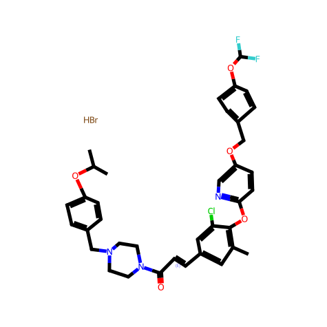 Br.Cc1cc(/C=C/C(=O)N2CCN(Cc3ccc(OC(C)C)cc3)CC2)cc(Cl)c1Oc1ccc(OCc2ccc(OC(F)F)cc2)cn1